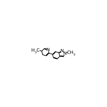 CC1C=NC(c2ccc3cn(C)nc3c2)=CC1